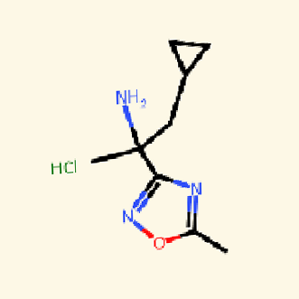 Cc1nc(C(C)(N)CC2CC2)no1.Cl